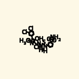 C/C(=N\NC(=S)Nc1cccc(S(N)(=O)=O)c1)c1nn(C)c(-c2ccc(Cl)c(Cl)c2)c1O